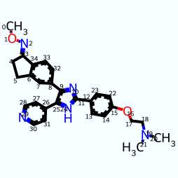 CON=C1CCc2cc(-c3nc(-c4ccc(OCCN(C)C)cc4)[nH]c3-c3ccncc3)ccc21